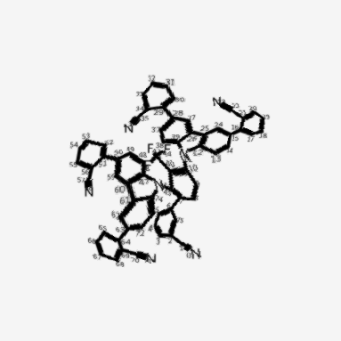 N#Cc1cccc(-c2ccc(-n3c4ccc(-c5ccccc5C#N)cc4c4cc(-c5ccccc5C#N)ccc43)c(C(F)(F)F)c2-n2c3ccc(-c4ccccc4C#N)cc3c3cc(-c4ccccc4C#N)ccc32)c1